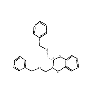 c1ccc(COCC2Oc3ccccc3O[C@H]2COCc2ccccc2)cc1